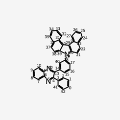 c1ccc(-c2nc3ccccc3nc2-c2cccc(-n3c4ccc5ccccc5c4c4c5ccccc5ccc43)c2)cc1